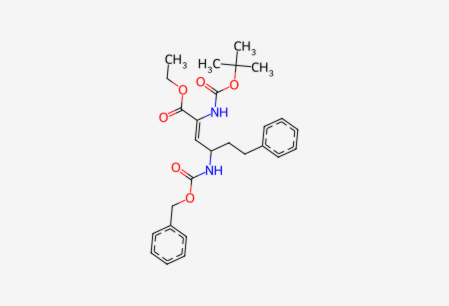 CCOC(=O)C(=CC(CCc1ccccc1)NC(=O)OCc1ccccc1)NC(=O)OC(C)(C)C